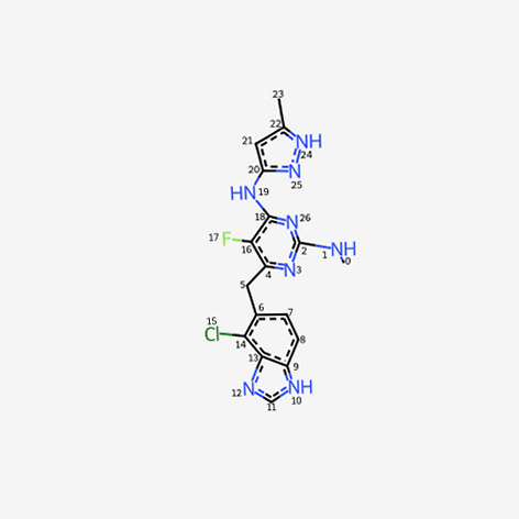 CNc1nc(Cc2ccc3[nH]cnc3c2Cl)c(F)c(Nc2cc(C)[nH]n2)n1